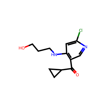 O=C(c1cnc(Cl)cc1NCCCO)C1CC1